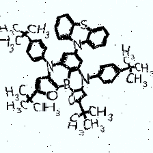 CC(C)(C)c1ccc(N2c3cc(C(C)(C)C)oc3B3c4oc(C(C)(C)C)cc4N(c4ccc(C(C)(C)C)cc4)c4cc(N5c6ccccc6Sc6ccccc65)cc2c43)cc1